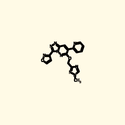 Cn1cnc(COc2nn3c(-c4ccon4)nnc3cc2-c2ccccn2)n1